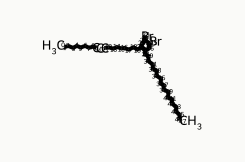 CCCCCCCCCCCCCCCCCCCCc1cc(Br)c(Br)cc1CCCCCCCCCCCCCCCCCCCC